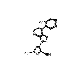 Cc1nc(C#N)c(-n2ncc3c(-c4cnccc4C)ccnc32)o1